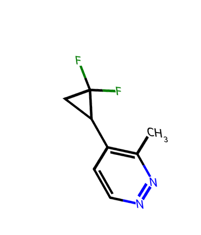 Cc1nnccc1C1CC1(F)F